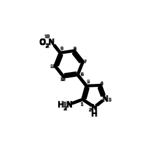 Nc1[nH]ncc1-c1ccc([N+](=O)[O-])cc1